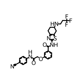 N#Cc1ccc(NC(=O)COc2cccc(C(=O)Nc3nc4c(s3)CC(NCCC(F)(F)F)CC4)c2)cc1